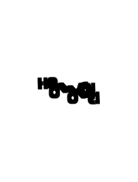 O=C(O)CCCC(=O)c1ccnc(Cl)c1